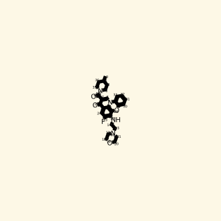 CC1CCN(C(=O)c2cn3c4c(c(NCCN5CCOCC5)c(F)cc4c2=O)Oc2ccccc2-3)CC1